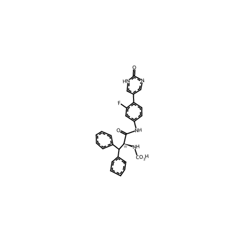 O=C(O)N[C@H](C(=O)Nc1ccc(-c2cnc(=O)[nH]c2)c(F)c1)C(c1ccccc1)c1ccccc1